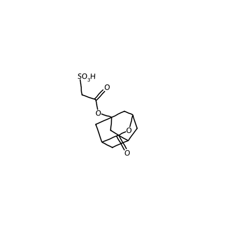 O=C(CS(=O)(=O)O)OC12CC3CC(C1)OC(=O)C(C3)C2